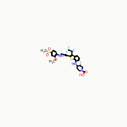 COc1cc(S(C)(=O)=O)ccc1NCC#Cc1sc2c(NC3CCN(C(=O)O)CC3F)cccc2c1C(F)C(F)F